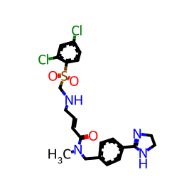 CN(Cc1ccc(C2=NCCN2)cc1)C(=O)C=CCNCS(=O)(=O)c1ccc(Cl)cc1Cl